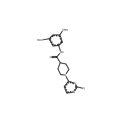 COc1cc(NC(=O)C2CCN(c3ccnc(Cl)n3)CC2)cc(OC)c1